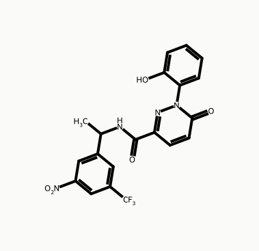 CC(NC(=O)c1ccc(=O)n(-c2ccccc2O)n1)c1cc([N+](=O)[O-])cc(C(F)(F)F)c1